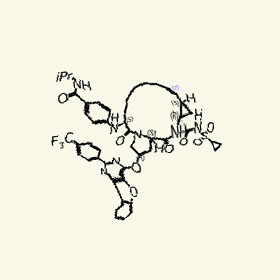 CC(C)NC(=O)c1ccc(N[C@H]2CCCCC/C=C\[C@@H]3C[C@@]3(C(=O)NS(=O)(=O)C3CC3)NC(=O)[C@@H]3C[C@@H](Oc4nc(-c5ccc(C(F)(F)F)cc5)nc5c4oc4ccccc45)CN3C2=O)cc1